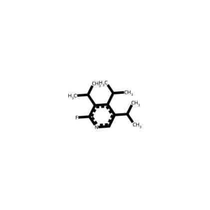 CC(C)c1cnc(F)c(C(C)C)c1C(C)C